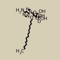 CCCCCCCCCCCCCCCCO[C@@H]1[C@H](OP(=O)(O)O)[C@@H](CO)O[C@H]1n1cnc2c(N)ncnc21